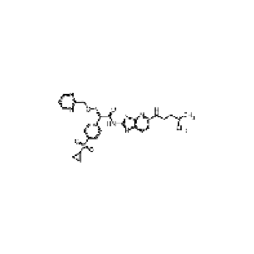 CN(C)CCNc1ccc2nc(NC(=O)/C(=N/OCc3ncccn3)c3ccc(S(=O)(=O)C4CC4)cc3)sc2n1